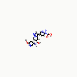 COC(=O)Nc1ccc(-c2cnn3ccc(C(=O)N(C)c4ccc(OC)nc4)cc23)cn1